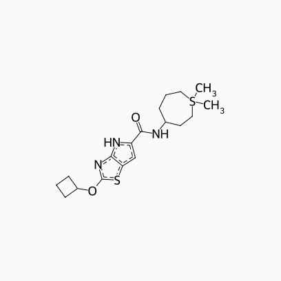 CS1(C)CCCC(NC(=O)c2cc3sc(OC4CCC4)nc3[nH]2)CC1